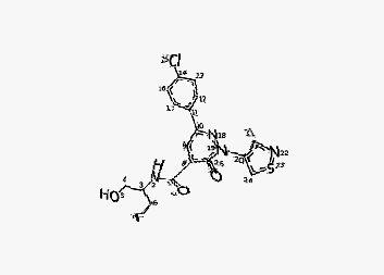 O=C(NC(CO)CF)c1cc(-c2ccc(Cl)cc2)nn(-c2cnsc2)c1=O